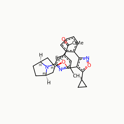 COC(=O)c1cc(C)nc(N2[C@@H]3CC[C@H]2C[C@@H](OCc2c(-c4ccccc4C(F)(F)F)noc2C2CC2)C3)c1